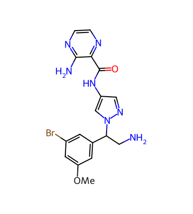 COc1cc(Br)cc(C(CN)n2cc(NC(=O)c3nccnc3N)cn2)c1